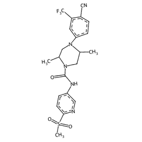 CC1CN(c2ccc(C#N)c(C(F)(F)F)c2)C(C)CN1C(=O)Nc1ccc(S(C)(=O)=O)nc1